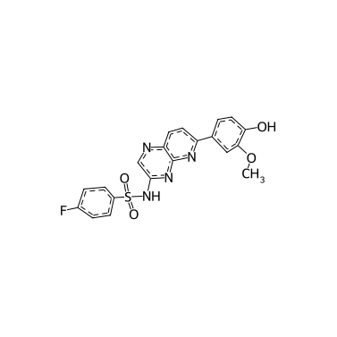 COc1cc(-c2ccc3ncc(NS(=O)(=O)c4ccc(F)cc4)nc3n2)ccc1O